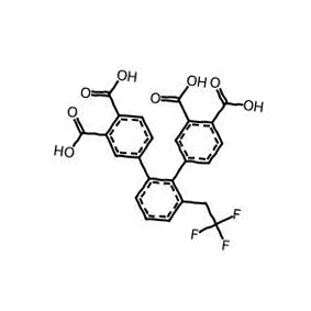 O=C(O)c1ccc(-c2cccc(CC(F)(F)F)c2-c2ccc(C(=O)O)c(C(=O)O)c2)cc1C(=O)O